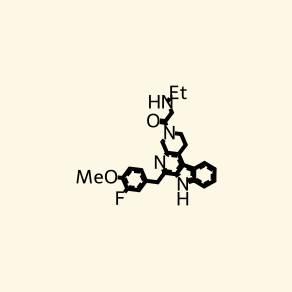 CCNCC(=O)N1CCc2c(nc(Cc3ccc(OC)c(F)c3)c3[nH]c4ccccc4c23)C1